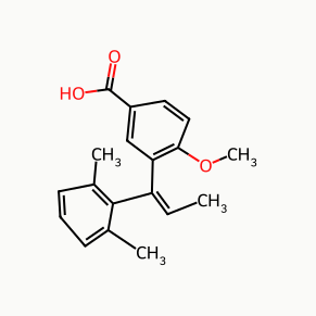 C/C=C(\c1cc(C(=O)O)ccc1OC)c1c(C)cccc1C